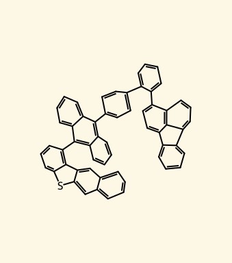 c1ccc(-c2ccc3c4c(cccc24)-c2ccccc2-3)c(-c2ccc(-c3c4ccccc4c(-c4cccc5sc6cc7ccccc7cc6c45)c4ccccc34)cc2)c1